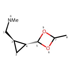 CNC[C@@H]1C[C@H]1C1OC(C)O1